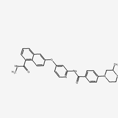 CNC(=O)c1cccc2cc(Oc3ccnc(NC(=O)c4ccc(N5CCNC(C)C5)cc4)c3)ccc12